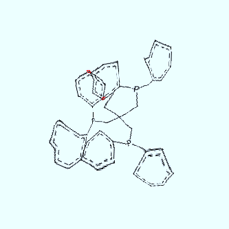 CCC(CP(c1ccccc1)c1ccccc1)(CP(c1ccccc1)c1ccccc1)CP(c1ccccc1)c1ccccc1